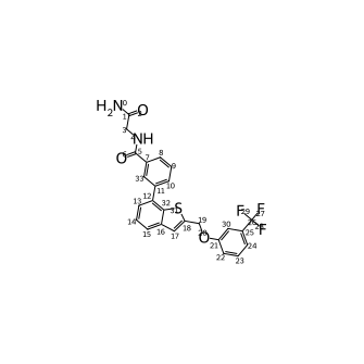 NC(=O)CNC(=O)c1cccc(-c2cccc3cc(COc4cccc(C(F)(F)F)c4)sc23)c1